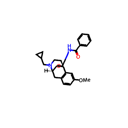 COc1ccc2c(c1)[C@]13CCN(CC4CC4)[C@H](C2)C1OCC(NC(=O)c1ccccc1)C3